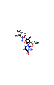 CO[C@H]1C(C)[C@@H](C(=O)N[C@H](CC(C)=O)C(C)=O)O[C@H]1n1ccc(=O)[nH]c1=O